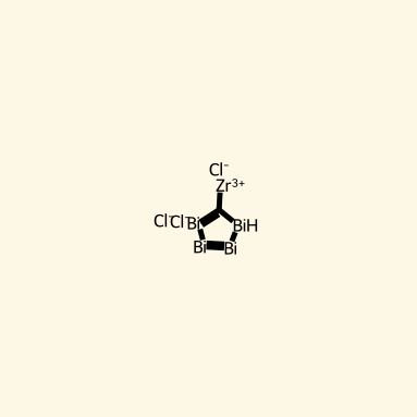 [Cl-].[Cl-].[Cl-].[Zr+3][C]1=[Bi][Bi]=[Bi][BiH]1